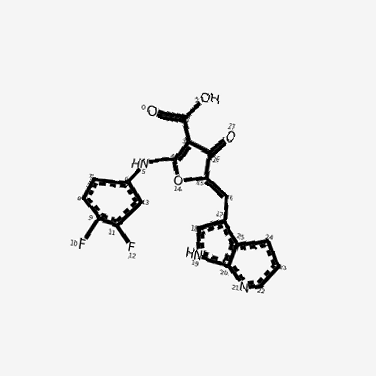 O=C(O)C1=C(Nc2ccc(F)c(F)c2)OC(=Cc2c[nH]c3ncccc23)C1=O